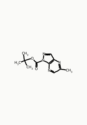 Cc1cnc2c(cnn2C(=O)OC(C)(C)C)n1